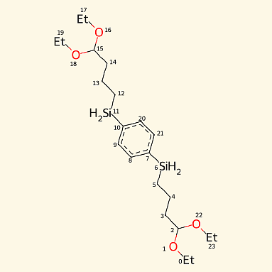 CCOC(CCC[SiH2]c1ccc([SiH2]CCCC(OCC)OCC)cc1)OCC